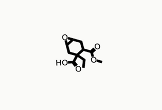 CCC1(C(=O)O)CC2OC2CC1C(=O)OC